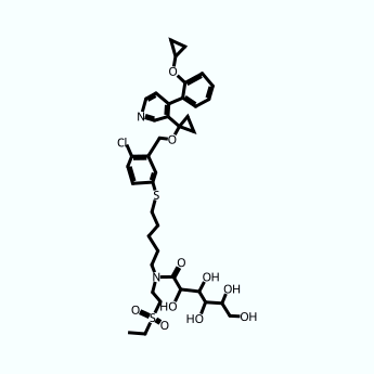 CCS(=O)(=O)CCN(CCCCCSc1ccc(Cl)c(COC2(c3cnccc3-c3ccccc3OC3CC3)CC2)c1)C(=O)C(O)C(O)C(O)C(O)CO